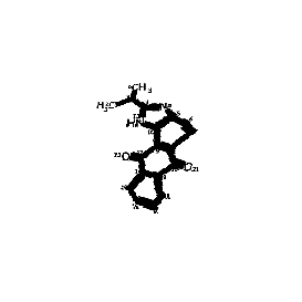 CC(C)c1nc2ccc3c(c2[nH]1)C(=O)c1ccccc1C3=O